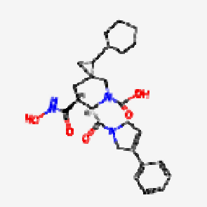 O=C(NO)[C@H]1CC2(CC2C2CCCCC2)CN(C(=O)O)[C@@H]1C(=O)N1CC=C(c2ccccc2)C1